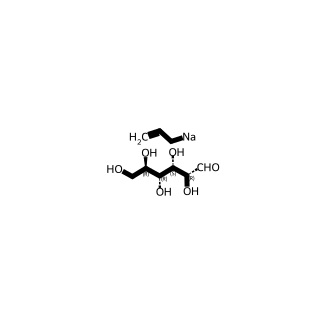 C=C[CH2][Na].O=C[C@H](O)[C@@H](O)[C@H](O)[C@H](O)CO